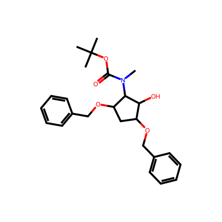 CN(C(=O)OC(C)(C)C)C1C(OCc2ccccc2)CC(OCc2ccccc2)C1O